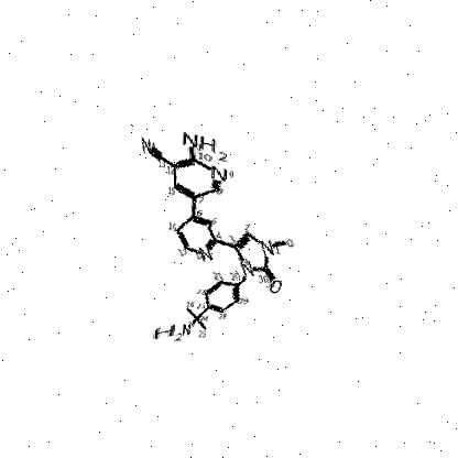 Cn1cc(-c2cc(-c3cnc(N)c(C#N)c3)ccn2)n(-c2ccc(C(C)(C)N)cc2)c1=O